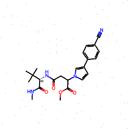 CNC(=O)[C@@H](NC(=O)CC(C(=O)OC)n1ccc(-c2ccc(C#N)cc2)c1)C(C)(C)C